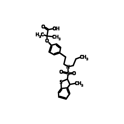 CCCN(CCc1ccc(OC(C)(C)C(=O)O)cc1)S(=O)(=O)C1Sc2ccccc2C1C